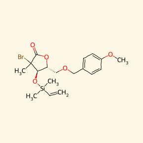 C=C[Si](C)(C)O[C@@H]1[C@@H](COCc2ccc(OC)cc2)OC(=O)C1(C)Br